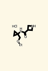 CCOCC1(NC(=O)C2CNC2)CC1.Cl